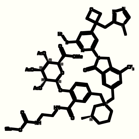 CCSc1cc(C2(Cc3nncn3C)COC2)cc(N2Cc3c(cc(C[N+]4(Cc5ccc(O[C@@H]6O[C@H](C(=O)OC)[C@@H](OC(C)=O)[C@H](OC(C)=O)[C@H]6OC(C)=O)c(C(=O)NCCNC(=O)OC(C)(C)C)c5)CCC[C@H](C)C4)cc3C(F)(F)F)C2=O)n1